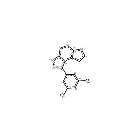 FC(F)(F)c1cc(-c2nnc3cnc4[nH]ccc4n23)cc(C(F)(F)F)c1